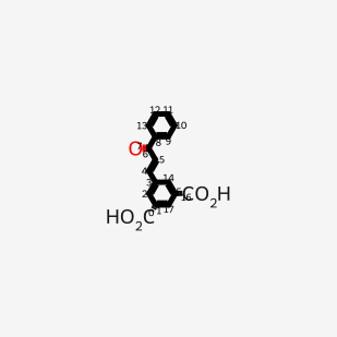 O=C(O)c1cc(C=CC(=O)c2ccccc2)cc(C(=O)O)c1